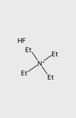 CC[N+](CC)(CC)CC.F